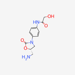 NC[C@H]1CN(c2ccc(NC(=O)CO)cc2)C(=O)O1